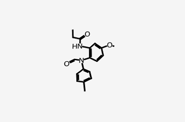 CCC(=O)Nc1cc(OC)ccc1N(C=O)c1ccc(C)cc1